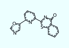 O=c1nc(-c2cccc(-c3cnco3)n2)sc2ccccc12